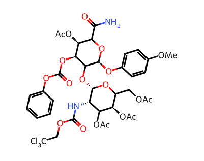 COc1ccc(O[C@@H]2OC(C(N)=O)[C@H](OC(C)=O)[C@H](OC(=O)Oc3ccccc3)C2O[C@@H]2OC(COC(C)=O)[C@@H](OC(C)=O)C(OC(C)=O)[C@@H]2NC(=O)OCC(Cl)(Cl)Cl)cc1